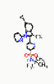 CC(C)(NS(=O)(=O)c1ccc(-c2c(C#N)c3ccc(C4CC4)cc3n2-c2ccccn2)nc1)C(F)(F)F